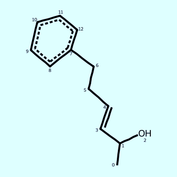 CC(O)C=CCCc1ccccc1